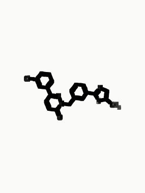 Cc1cnc(-c2cccc(Cn3nc(-c4cccc(Cl)c4)ccc3=O)c2)s1